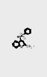 O=C(O)C1=CC(NS(=O)(=O)c2ccccc2)c2ccccc2S1